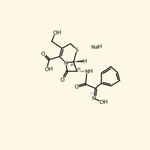 O=C(O)C1=C(CO)CS[C@@H]2[C@H](NC(=O)/C(=N/O)c3ccccc3)C(=O)N12.[NaH]